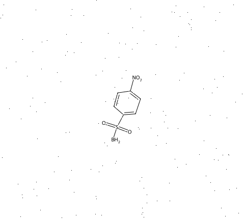 BS(=O)(=O)c1ccc([N+](=O)[O-])cc1